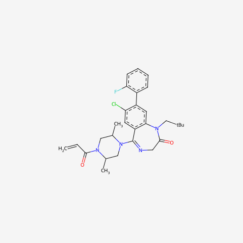 C=CC(=O)N1CC(C)N(C2=NCC(=O)N(CC(C)(C)C)c3cc(-c4ccccc4F)c(Cl)cc32)CC1C